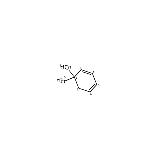 CCCC1(O)C=CC=CC1